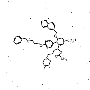 CN1CCN(CCCC(OC(N)=O)C2CN(C(=O)O)CC(OCc3ccc4ccccc4c3)C2c2ccc(OCCCOCc3ccccc3)cc2)CC1